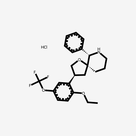 CCOc1ccc(OC(F)(F)F)cc1[C@H]1CO[C@]2(CCCN[C@H]2c2ccccc2)C1.Cl